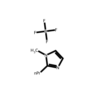 CCCc1nccn1C.F[B-](F)(F)F